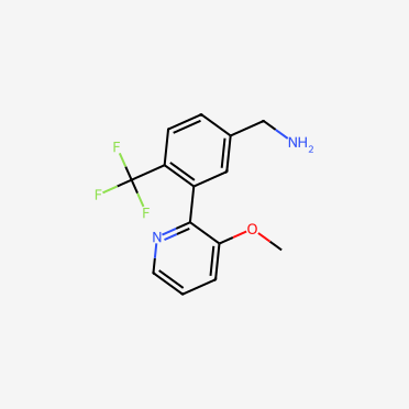 COc1cccnc1-c1cc(CN)ccc1C(F)(F)F